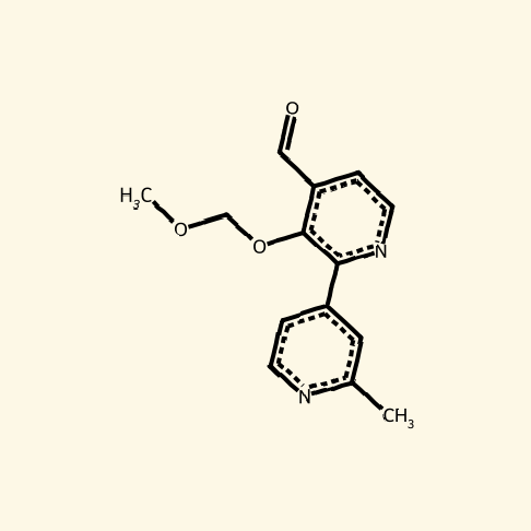 COCOc1c(C=O)ccnc1-c1ccnc(C)c1